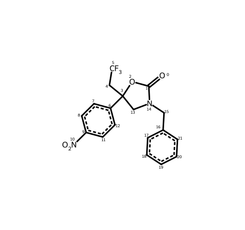 O=C1OC(CC(F)(F)F)(c2ccc([N+](=O)[O-])cc2)CN1Cc1ccccc1